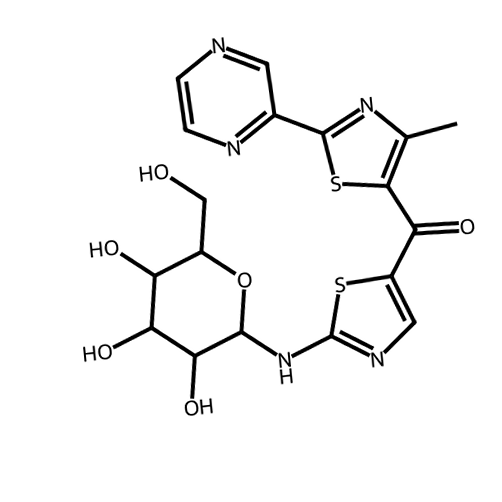 Cc1nc(-c2cnccn2)sc1C(=O)c1cnc(NC2OC(CO)C(O)C(O)C2O)s1